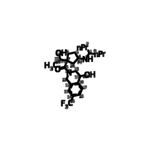 CCCC(CCC)N[C@@H]1CC[C@@](C(=O)N2Cc3cc(C(F)(F)F)ccc3C(O)C2)([C@H](C)O)C1